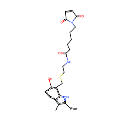 CCCC(C)c1[nH]c2c(CSCCNC(=O)CCCCCN3C(=O)C=CC3=O)c(O)ccc2c1C